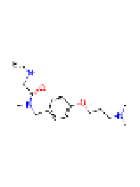 CCN(C)CC(=O)N(C)Cc1ccc(OCCCN(C)C)cc1